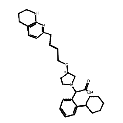 O=C(O)C(c1ccccc1C1CCCCC1)N1CC[C@@H](OCCCCc2ccc3c(n2)NCCC3)C1